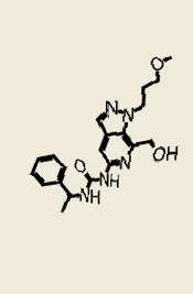 COCCCn1ncc2cc(NC(=O)NC(C)c3ccccc3)nc(CO)c21